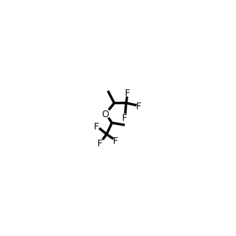 CC(OC(C)C(F)(F)F)C(F)(F)F